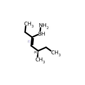 CC/C(BN)=C/[C@H](C)CC